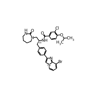 CC(C)Oc1ccc(C(=O)N[C@@H](Cc2ccc(-c3cn4cccc(Br)c4n3)cc2)CN2CCCCNC2=O)cc1Cl